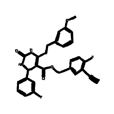 C#Cc1cc(COC(=O)C2=C(CCc3cccc(OC)c3)NC(=O)NC2c2cccc(F)c2)ccc1F